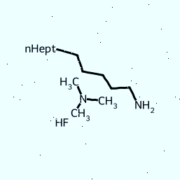 CCCCCCCCCCCCN.CN(C)C.F